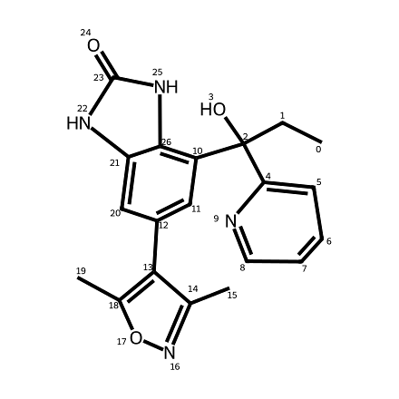 CCC(O)(c1ccccn1)c1cc(-c2c(C)noc2C)cc2[nH]c(=O)[nH]c12